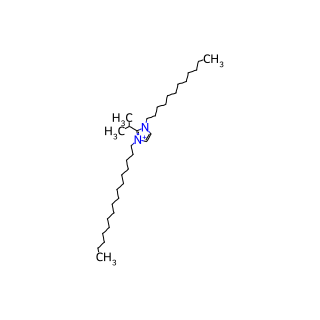 CCCCCCCCCCCCCCCC[n+]1ccn(CCCCCCCCCCCC)c1C(C)C